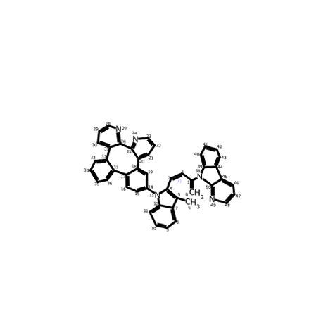 C=C(/C=C\c1c(C)c2ccccc2n1-c1ccc2c(c1)-c1cccnc1-c1ncccc1-c1ccccc1-2)n1c2ccccc2c2cccnc21